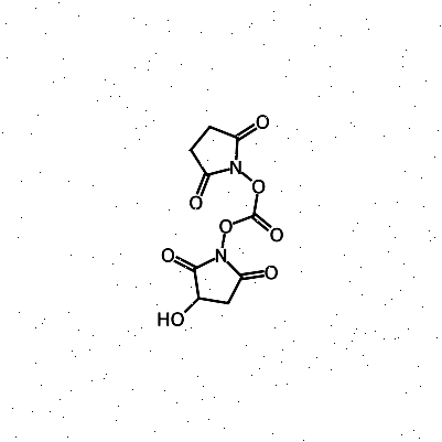 O=C(ON1C(=O)CCC1=O)ON1C(=O)CC(O)C1=O